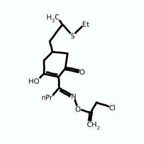 C=C(CCl)ON=C(CCC)C1=C(O)CC(CC(C)SCC)CC1=O